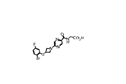 O=C(O)CNC(=O)c1cnc(N2CC(Oc3cc(F)ccc3Br)C2)cn1